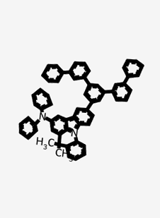 CC1(C)c2ccccc2-n2c3ccc(-c4cc(-c5cccc(-c6ccccc6)c5)cc(-c5cccc(-c6ccccc6)c5)c4)cc3c3cc(N(c4ccccc4)c4ccccc4)cc1c32